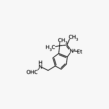 CC[N+]1=C(C)C(C)(C)c2cc(CNC=O)ccc21